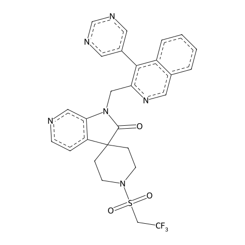 O=C1N(Cc2ncc3ccccc3c2-c2cncnc2)c2cnccc2C12CCN(S(=O)(=O)CC(F)(F)F)CC2